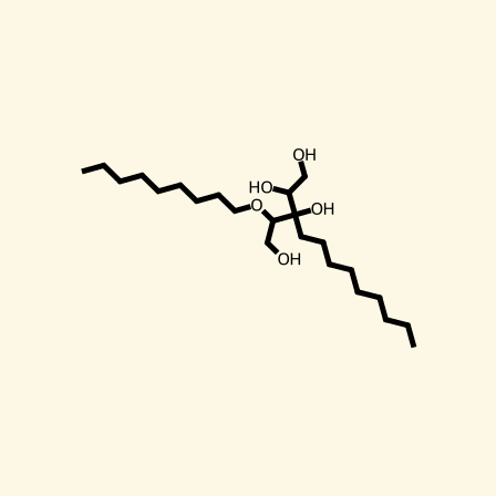 CCCCCCCCCOC(CO)C(O)(CCCCCCCCC)C(O)CO